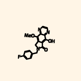 COc1c2c(c(O)c3nccnc13)C(=O)N(Cc1ccc(F)cc1)C2